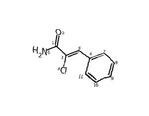 NC(=O)/C(Cl)=C/c1ccccc1